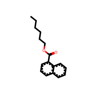 CCCCCCOC(=O)c1cccc2ccccc12